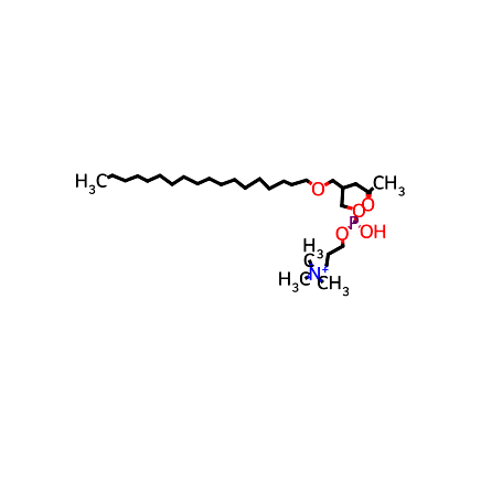 CCCCCCCCCCCCCCCCCCOCC(COP(O)OCCC[N+](C)(C)C)CC(C)=O